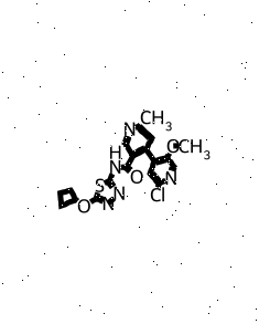 COc1cnc(Cl)cc1-c1cc(C)ncc1C(=O)Nc1nnc(OC2CCC2)s1